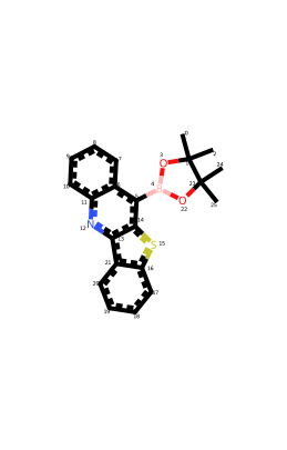 CC1(C)OB(c2c3ccccc3nc3c2sc2ccccc23)OC1(C)C